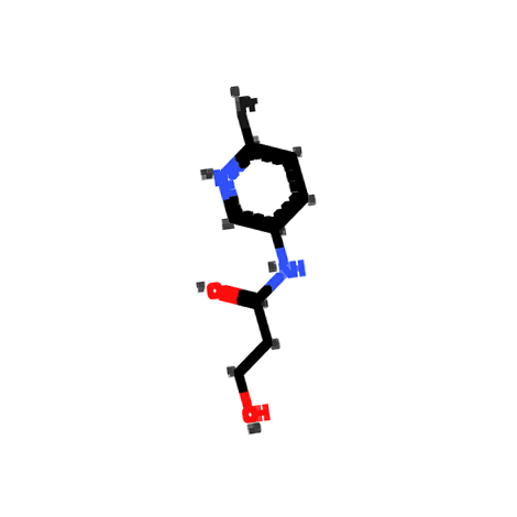 CC(C)c1ccc(NC(=O)CCO)cn1